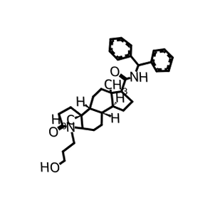 C[C@]12CCC(=O)N(CCCO)C1CC[C@@H]1[C@H]2CC[C@]2(C)C(C(=O)NC(c3ccccc3)c3ccccc3)CC[C@@H]12